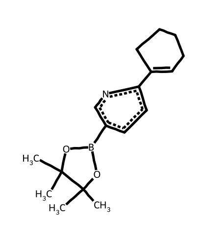 CC1(C)OB(c2ccc(C3=CCCCC3)nc2)OC1(C)C